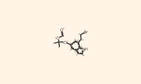 CC(C)(C)OC=O.Clc1cc(CCBr)c2[nH]ccc2c1